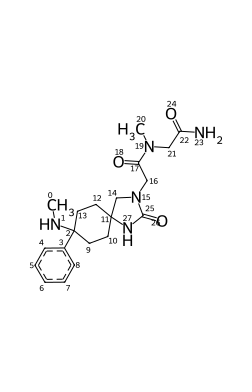 CNC1(c2ccccc2)CCC2(CC1)CN(CC(=O)N(C)CC(N)=O)C(=O)N2